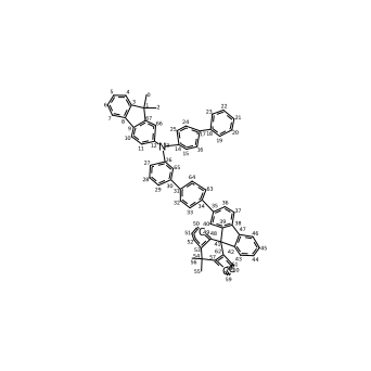 CC1(C)c2ccccc2-c2ccc(N(c3ccc(-c4ccccc4)cc3)c3cccc(-c4ccc(-c5ccc6c(c5)C5(c7ccccc7-6)c6ccccc6C(C)(C)c6ccccc65)cc4)c3)cc21